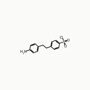 Nc1ccc(CCc2ccc(S(=O)(=O)Cl)cc2)cc1